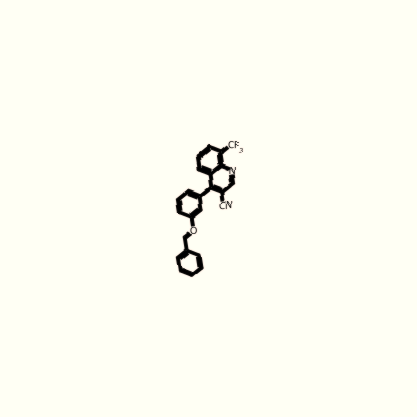 N#Cc1cnc2c(C(F)(F)F)cccc2c1-c1cccc(OCc2ccccc2)c1